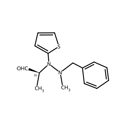 C[C@@H]([C]=O)N(c1cccs1)N(C)Cc1ccccc1